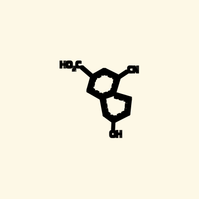 N#Cc1cc(C(=O)O)cc2cc(O)ccc12